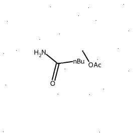 CCCCC(N)=O.COC(C)=O